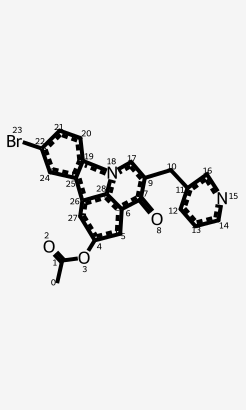 CC(=O)Oc1cc2c(=O)c(Cc3cccnc3)cn3c4ccc(Br)cc4c(c1)c23